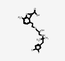 Cc1ccc(CCOC[C@@H](O)CNC(C)(C)Cc2ccc(Cl)c(F)c2)c2c1OC1C(C(=O)O)C21